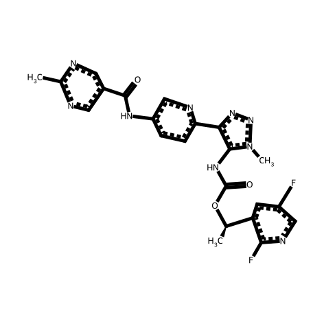 Cc1ncc(C(=O)Nc2ccc(-c3nnn(C)c3NC(=O)O[C@H](C)c3cc(F)cnc3F)nc2)cn1